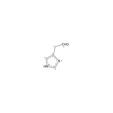 O=[C]Cc1c[nH]cn1